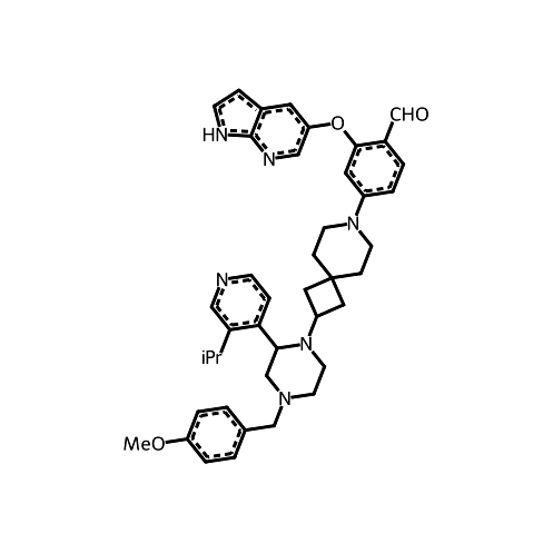 COc1ccc(CN2CCN(C3CC4(CCN(c5ccc(C=O)c(Oc6cnc7[nH]ccc7c6)c5)CC4)C3)C(c3ccncc3C(C)C)C2)cc1